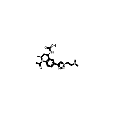 CC(=O)N1c2ccc(-c3cn(CCN(C)C)nn3)cc2[C@H](NC(=O)O)C[C@@H]1C